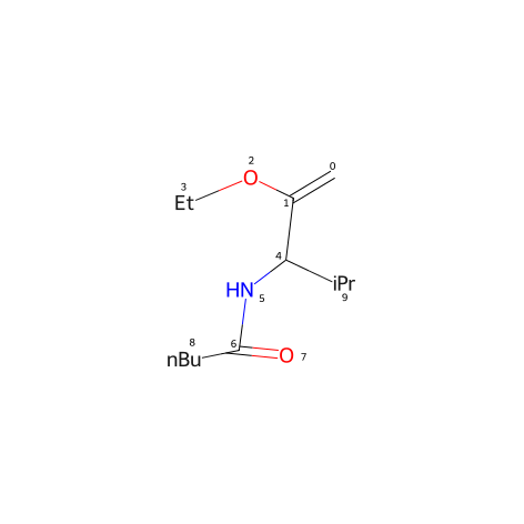 C=C(OCC)C(NC(=O)CCCC)C(C)C